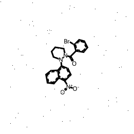 O=C(c1ccccc1Br)N1CCCCN1c1ccc([N+](=O)[O-])c2ccccc12